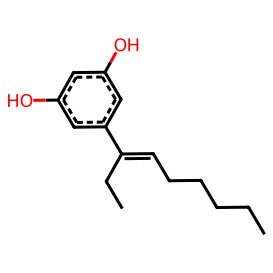 CCCCCC=C(CC)c1cc(O)cc(O)c1